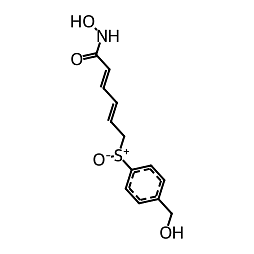 O=C(/C=C/C=C/C[S+]([O-])c1ccc(CO)cc1)NO